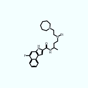 CCN(CCC(C)NC(=O)c1cc2c(cc(F)c3ccccc32)[nH]1)CCN1CCCCCC1